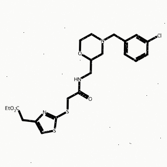 CCOC(=O)Cc1csc(SCC(=O)NCC2CN(Cc3cccc(Cl)c3)CCO2)n1